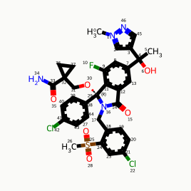 Cn1cc(C(C)(O)c2cc(F)c3c(c2)C(=O)N(Cc2ccc(Cl)cc2S(C)(=O)=O)[C@@]3(OCC2(C(N)=O)CC2)c2ccc(Cl)cc2)cn1